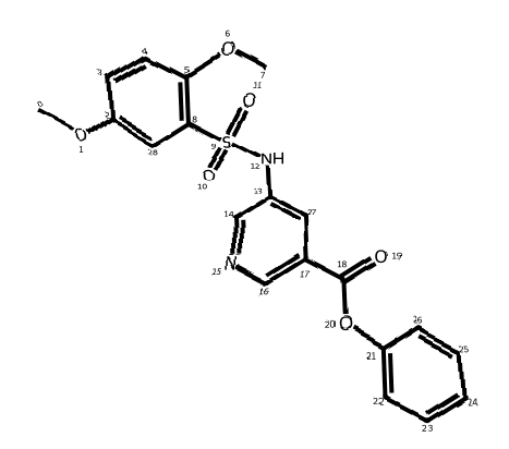 COc1ccc(OC)c(S(=O)(=O)Nc2cncc(C(=O)Oc3ccccc3)c2)c1